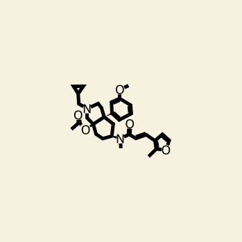 COc1cccc([C@@]23CCN(CC4CC4)C[C@@]2(OC(C)=O)CC[C@H](N(C)C(=O)/C=C/c2ccoc2C)C3)c1